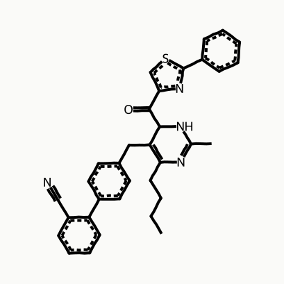 CCCCC1=C(Cc2ccc(-c3ccccc3C#N)cc2)C(C(=O)c2csc(-c3ccccc3)n2)NC(C)=N1